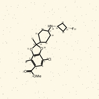 COC(=O)c1cc(Cl)c2c(c1C)OC(C)(C1CCC(N[C@H]3C[C@@H](F)C3)CC1)O2